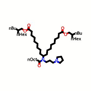 CCCCCCCCC(=O)N(CCCN1CCCC1)C(CCCCCCCCC(=O)OCC(CCCC)CCCCCC)CCCCCCCCC(=O)OCC(CCCC)CCCCCC